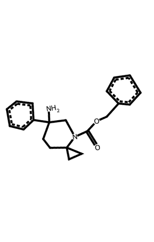 NC1(c2ccccc2)CCC2(CC2)N(C(=O)OCc2ccccc2)C1